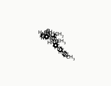 C=Cc1cnc(Nc2ccc(N3CCC(N4CCN(C)CC4)CC3)cc2OC)nc1Nc1ccc2nccnc2c1P(C)(C)=O